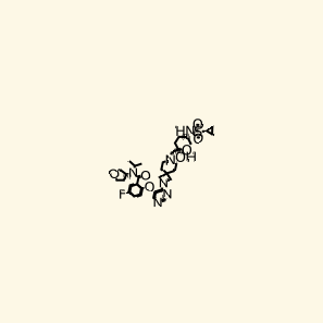 CC(C)N(C(=O)c1cc(F)ccc1Oc1cncnc1N1CC2(CCN(C[C@@]3(O)CC[C@@H](NS(=O)(=O)C4CC4)CO3)CC2)C1)[C@@H]1CCOC1